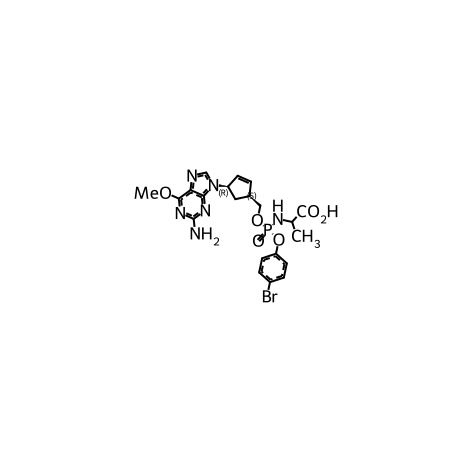 COc1nc(N)nc2c1ncn2[C@H]1C=C[C@@H](COP(=O)(NC(C)C(=O)O)Oc2ccc(Br)cc2)C1